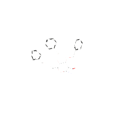 O=C1NC2OC(COCc3ccccc3)C(OCc3ccccc3)C(OCc3ccccc3)C12